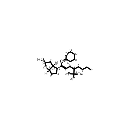 CCCCC(CC=C(OC1CCCCO1)[C@H]1CC[C@H]2OC(O)C[C@H]12)C(F)(F)F